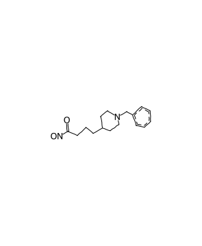 O=NC(=O)CCCC1CCN(Cc2ccccc2)CC1